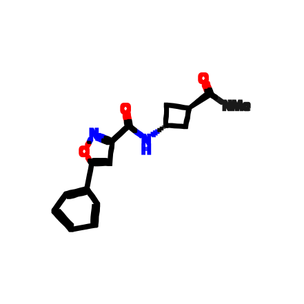 CNC(=O)[C@H]1C[C@H](NC(=O)c2cc(-c3ccccc3)on2)C1